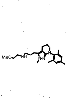 COCCNCCCc1c2c(nn1C)N(c1c(C)cc(C)cc1C)CCC2